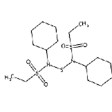 CCS(=O)(=O)N(SN(C1CCCCC1)S(=O)(=O)CC)C1CCCCC1